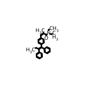 CCC(=C(c1ccccc1)c1ccc(C=C(C)C(=O)N(CC)CC)cc1)c1ccccc1